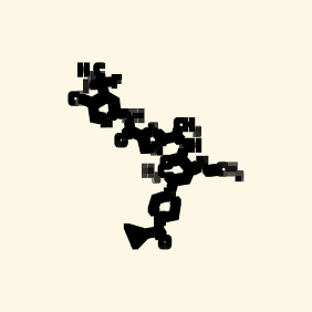 C=C/N=C(\C=C(/C)N1CCN(C(=O)C2CC2)CC1)C(=O)NC(C)c1ncc(C(=O)Nc2cc(C(C)(F)F)c(Cl)cn2)s1